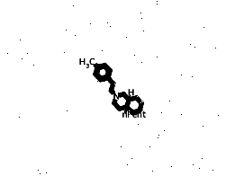 CCCCC[C@]12CCCC[C@@H]1CN(CCc1ccc(C)cc1)CC2